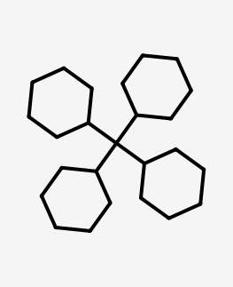 C1CCC(C(C2CCCCC2)(C2CCCCC2)C2CCCCC2)CC1